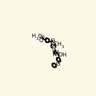 COC(=O)c1ccc(C(=O)N2CCN(c3nc(C(O)c4ccc(Oc5ccccc5)cc4)ns3)CC2C)cc1